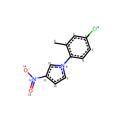 Cc1cc(Cl)ccc1-n1ccc([N+](=O)[O-])c1